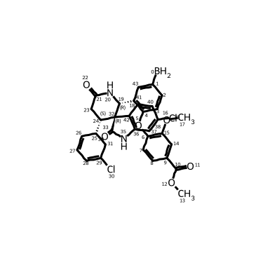 Bc1ccc(Oc2ccc(C(=O)OC)cc2OC)c([C@H]2NC(=O)C[C@@H](C3C=CC=C(Cl)C3)[C@]23C(=O)Nc2cc(Cl)ccc23)c1